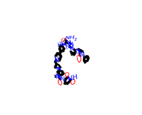 Cn1c(=O)n(C2CCC(=O)NC2=O)c2ccc(N3CCC(CN4CCC(c5ccc(Nc6nc(N7CCCC(n8ccn(-c9ccccc9)c8=O)C7)nnc6C(N)=O)cc5)CC4)CC3)cc21